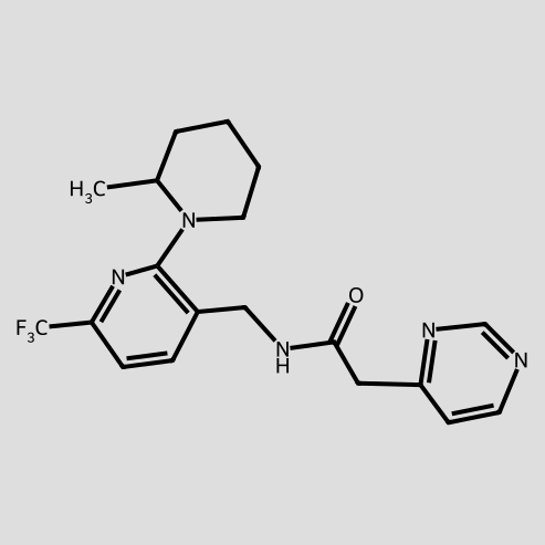 CC1CCCCN1c1nc(C(F)(F)F)ccc1CNC(=O)Cc1ccncn1